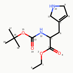 CCOC(=O)C(CC1=CCNC1)NC(=O)OC(C)(C)C